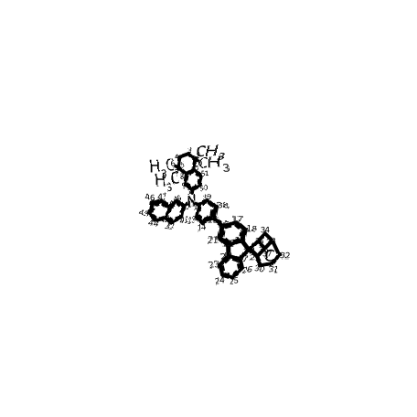 CC1(C)CCC(C)(C)c2cc(N(c3ccc(-c4ccc5c(c4)-c4ccccc4C54C5CC6CC7CC4C75C6)cc3)c3ccc4ccccc4c3)ccc21